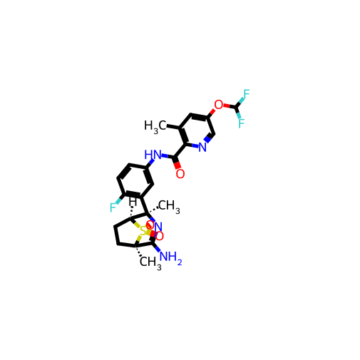 Cc1cc(OC(F)F)cnc1C(=O)Nc1ccc(F)c([C@@]2(C)N=C(N)[C@@]3(C)CC[C@@H]2S3(=O)=O)c1